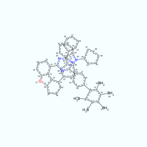 Bc1c(B)c(B)c(-c2ccc(-c3nc(-c4ccccc4)nc(-c4cccc5oc6cccc(-c7ccc8c(c7)c7ccccc7n8-c7ccccc7)c6c45)n3)cc2)c(B)c1B